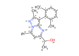 Cc1cccc(C)c1-c1c(C)nn2c(C(C)C)cc(C(C)O)nc12